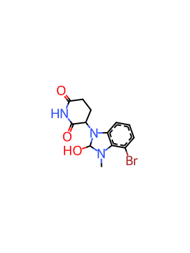 CN1c2c(Br)cccc2N(C2CCC(=O)NC2=O)C1O